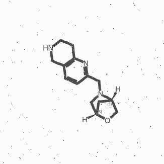 c1cc2c(nc1CN1C[C@@H]3C[C@H]1CO3)CCNC2